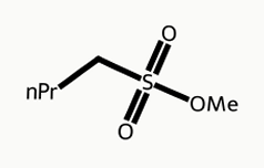 [CH2]OS(=O)(=O)CCCC